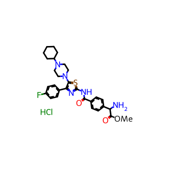 COC(=O)C(N)c1ccc(C(=O)Nc2nc(-c3ccc(F)cc3)c(N3CCN(C4CCCCC4)CC3)s2)cc1.Cl